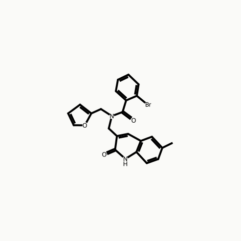 Cc1ccc2[nH]c(=O)c(CN(Cc3ccco3)C(=O)c3ccccc3Br)cc2c1